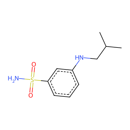 CC(C)CNc1cccc(S(N)(=O)=O)c1